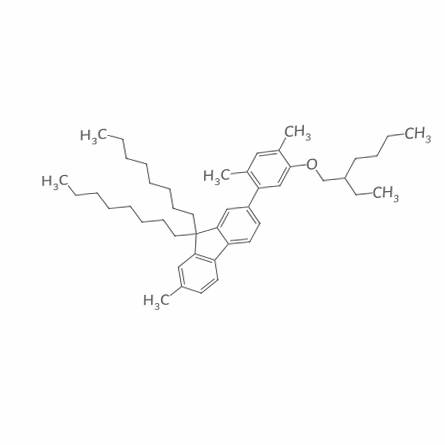 CCCCCCCCC1(CCCCCCCC)c2cc(C)ccc2-c2ccc(-c3cc(OCC(CC)CCCC)c(C)cc3C)cc21